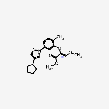 CO/C=C(\Oc1cc(-n2cc(C3CCCC3)cn2)ccc1C)C(=O)OC